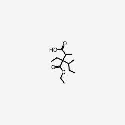 CCOC(=O)C(CC)(C(C)CC)C(C)C(=O)O